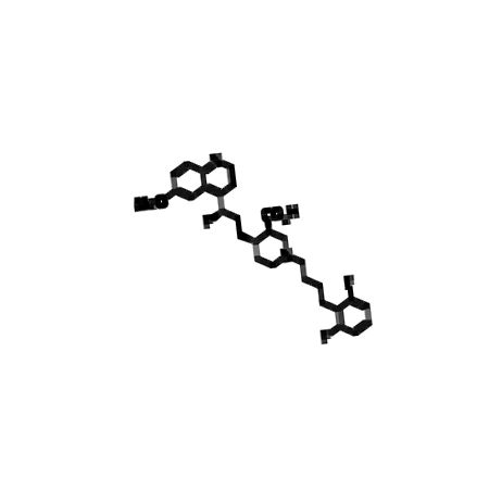 COc1ccc2nccc([C@H](F)CC[C@@H]3CCN(CCCCc4c(F)cccc4F)C[C@@H]3C(=O)O)c2c1